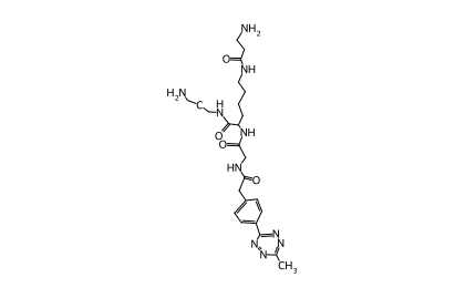 Cc1nnc(-c2ccc(CC(=O)NCC(=O)NC(CCCCNC(=O)CCN)C(=O)NCCCN)cc2)nn1